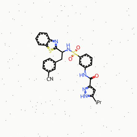 CC(C)c1cc(C(=O)Nc2cccc(S(=O)(=O)NC(Cc3cccc(C#N)c3)c3nc4ccccc4s3)c2)n[nH]1